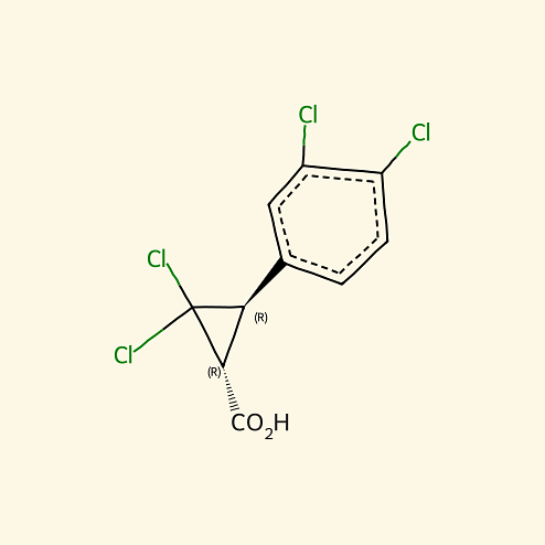 O=C(O)[C@H]1[C@H](c2ccc(Cl)c(Cl)c2)C1(Cl)Cl